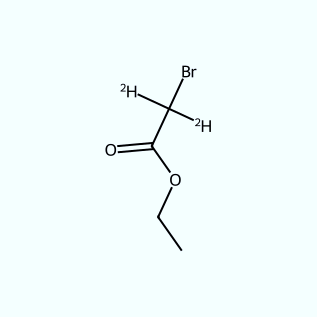 [2H]C([2H])(Br)C(=O)OCC